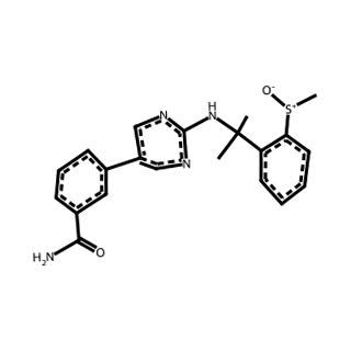 C[S+]([O-])c1ccccc1C(C)(C)Nc1ncc(-c2cccc(C(N)=O)c2)cn1